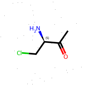 CC(=O)[C@H](N)CCl